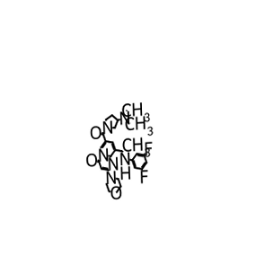 CC(Nc1cc(F)cc(F)c1)c1cc(C(=O)N2CCC(N(C)C)C2)cn2c(=O)cc(N3CCOCC3)nc12